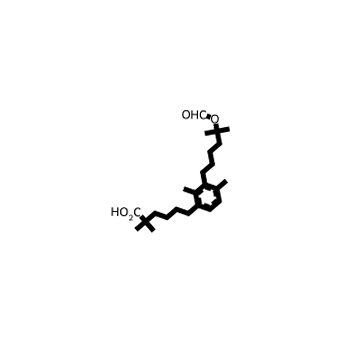 Cc1ccc(CCCCC(C)(C)C(=O)O)c(C)c1CCCCC(C)(C)OC=O